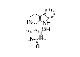 C=C1C(C2NCCc3c2[nH]c2ccccc32)=C(O)N(C)C(=O)N1C